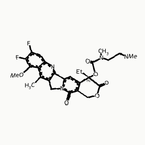 CC[C@@]1(OC(=O)N(C)CCNC)C(=O)OCc2c1cc1n(c2=O)Cc2c-1nc1cc(F)c(F)c(OC)c1c2C